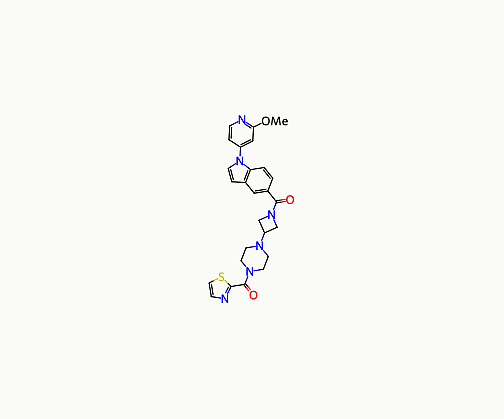 COc1cc(-n2ccc3cc(C(=O)N4CC(N5CCN(C(=O)c6nccs6)CC5)C4)ccc32)ccn1